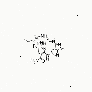 CCCC[C@@H](Nc1nc(Nc2cnc3c(c2)c(N(C)C)nn3C)c(C(N)=O)cc1F)[C@H](C)N